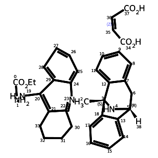 CCOC(N)=O.C[C@]12N[C@H](Cc3ccccc31)c1ccccc12.Nc1c2c(nc3ccccc13)CCCC2.O=C(O)/C=C\C(=O)O